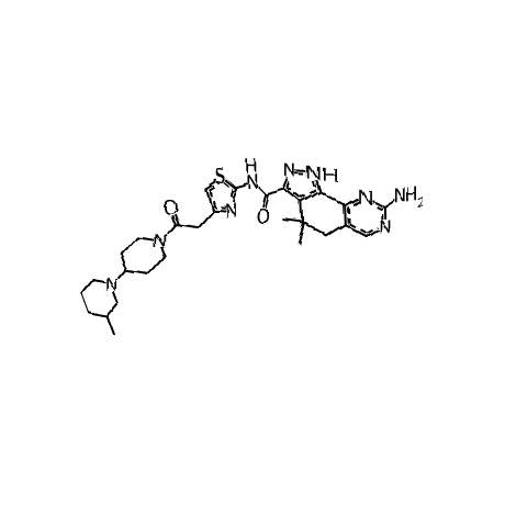 CC1CCCN(C2CCN(C(=O)Cc3csc(NC(=O)c4n[nH]c5c4C(C)(C)Cc4cnc(N)nc4-5)n3)CC2)C1